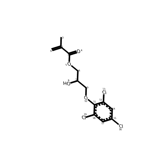 C=C(C)C(=O)OCC(O)COc1c(Cl)cc(Cl)cc1Cl